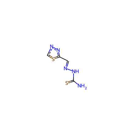 NC(=S)NN=Cc1nncs1